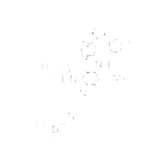 C=CC(=O)Nc1cc(Nc2cc(N3OCC[C@@H]3c3cccc(F)c3F)ncn2)c(OC)cc1N1CCC(N2CC[C@H](N(C)C)C2)CC1